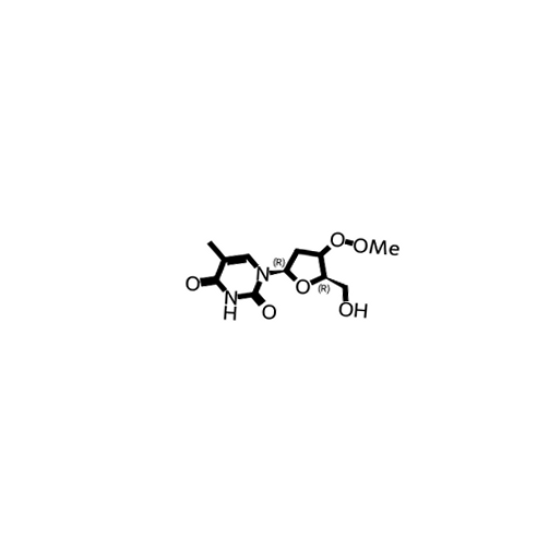 COOC1C[C@H](n2cc(C)c(=O)[nH]c2=O)O[C@@H]1CO